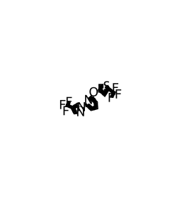 FC(F)(F)c1cnn(-c2cccc(Oc3csc(C(F)(F)F)c3)n2)c1